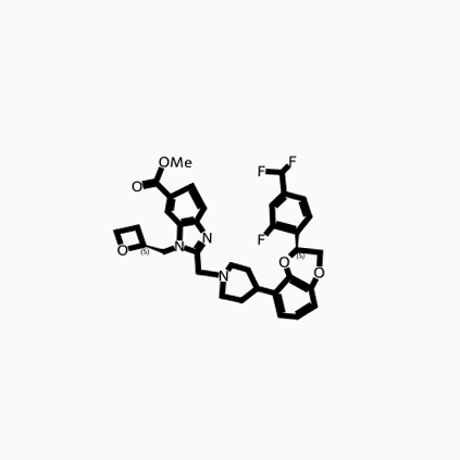 COC(=O)c1ccc2nc(CN3CCC(c4cccc5c4O[C@@H](c4ccc(C(F)F)cc4F)CO5)CC3)n(C[C@@H]3CCO3)c2c1